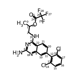 CC(CNc1nc(N)nc2cc(-c3c(Cl)cccc3Cl)ccc12)OC(=O)C(F)(F)F